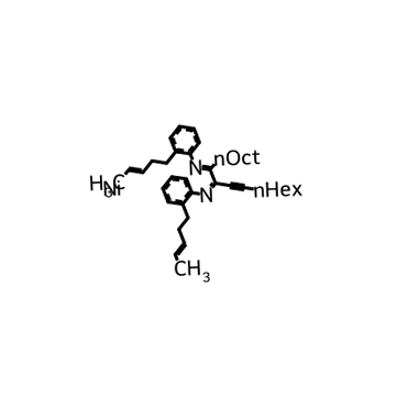 CC=CCCc1ccccc1N=C(C#CCCCCCC)C(CCCCCCCC)=Nc1ccccc1CCC=CC.[Ni]